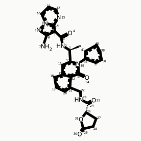 C[C@H](NC(=O)c1c(N)nn2cccnc12)c1cc2cccc(CNC(=O)[C@@H]3CCC(=O)O3)c2c(=O)n1-c1ccccc1